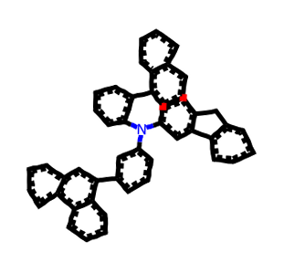 c1cc(-c2cc3ccccc3c3ccccc23)cc(N(c2ccc3c(c2)-c2ccccc2C3)c2ccccc2-c2cccc3ccccc23)c1